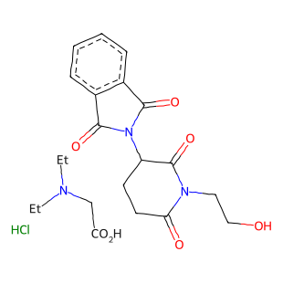 CCN(CC)CC(=O)O.Cl.O=C1CCC(N2C(=O)c3ccccc3C2=O)C(=O)N1CCO